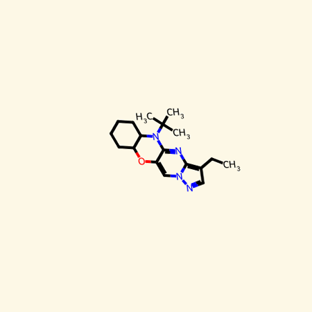 CCc1cnn2cc3c(nc12)N(C(C)(C)C)C1CCCCC1O3